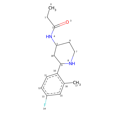 CCC(=O)NC1CCNC(c2ccc(F)cc2C)C1